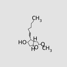 CCCCCC#C[C@H]1[C@@H]2C[C@@H](OC)O[C@@H]2C[C@@H]1O